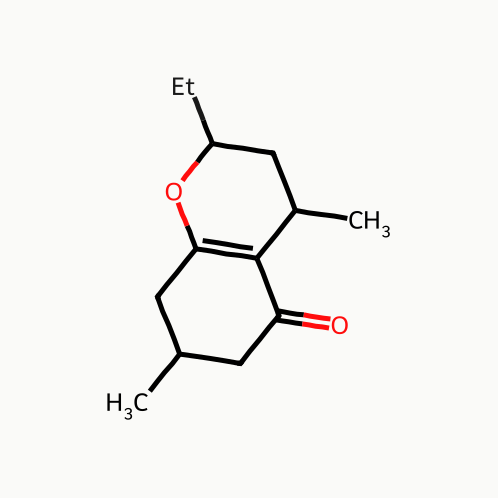 CCC1CC(C)C2=C(CC(C)CC2=O)O1